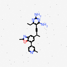 CCc1nc(N)nc(N)c1C#CC(C)c1cc(-c2ccnc(C)c2)c2oc(C)nc2c1